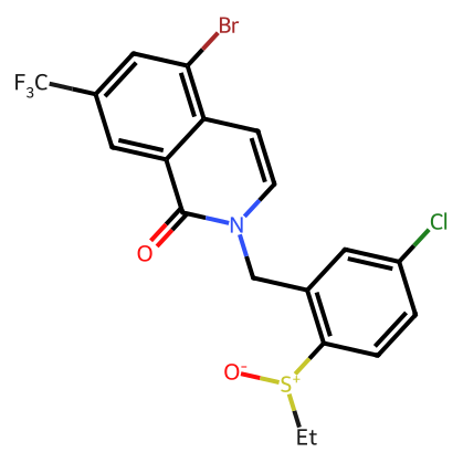 CC[S+]([O-])c1ccc(Cl)cc1Cn1ccc2c(Br)cc(C(F)(F)F)cc2c1=O